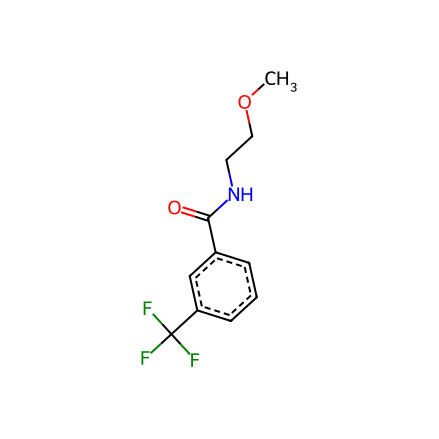 COCCNC(=O)c1cccc(C(F)(F)F)c1